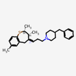 Cc1ccc2c(c1)C/C(=C/CCN1CCC(Cc3ccccc3)CC1)[C@@H](C)[C@@H](C)S2